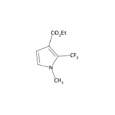 CCOC(=O)c1ccn(C)c1C(F)(F)F